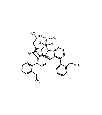 CCCC1=Cc2c(-c3ccccc3CC)cccc2[CH]1[Hf]([Cl])([Cl])([CH]1C(CCC)=Cc2c(-c3ccccc3CC)cccc21)[SiH](C)C